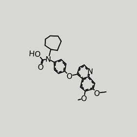 COc1cc2nccc(Oc3ccc(N(C(=O)O)C4CCCCCC4)cc3)c2cc1OC